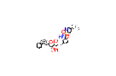 CCC[C@@]1(CCc2ccccc2)CC(O)=C(CCCc2cccc(NS(=O)(=O)c3ccc(C(F)(F)F)cn3)c2)C(=O)O1